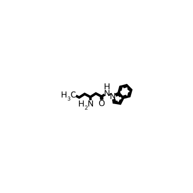 CCCC(N)CC(=O)Nn1ccc2ccccc21